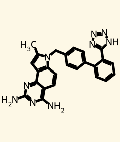 Cc1cc2c3nc(N)nc(N)c3ccc2n1Cc1ccc(-c2ccccc2-c2nnn[nH]2)cc1